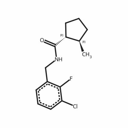 C[C@@H]1CCC[C@H]1C(=O)NCc1cccc(Cl)c1F